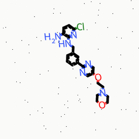 Nc1ccc(Cl)nc1NCc1cccc(-c2ncc(OCCN3CCOCC3)cn2)c1